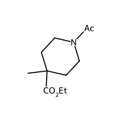 CCOC(=O)C1(C)CCN(C(C)=O)CC1